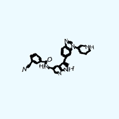 N#Cc1cccc(C(=O)Nc2cnc3[nH]cc(-c4ccc5ncn(C6CCCNC6)c5c4)c3c2)c1